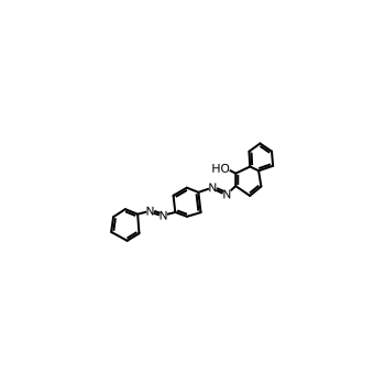 Oc1c(N=Nc2ccc(N=Nc3ccccc3)cc2)ccc2ccccc12